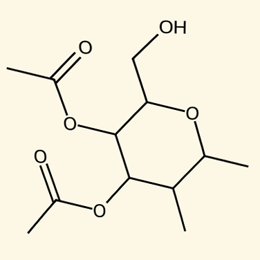 CC(=O)OC1C(CO)OC(C)C(C)C1OC(C)=O